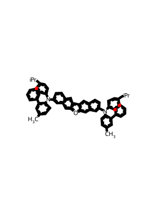 Cc1ccc(N(c2ccc(C(C)C)cc2)c2ccc3cc4c(cc3c2)oc2cc3cc(N(c5ccc(C(C)C)cc5)c5ccc(C)cc5-c5ccccc5)ccc3cc24)c(-c2ccccc2)c1